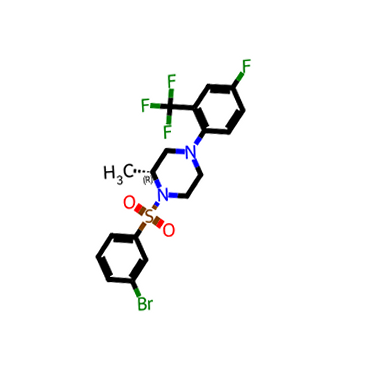 C[C@@H]1CN(c2ccc(F)cc2C(F)(F)F)CCN1S(=O)(=O)c1cccc(Br)c1